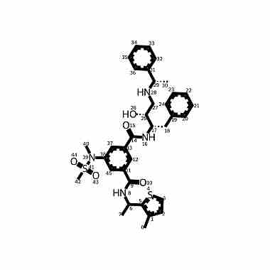 Cc1ccsc1C(C)NC(=O)c1cc(C(=O)N[C@@H](Cc2ccccc2)[C@H](O)CN[C@@H](C)c2ccccc2)cc(N(C)S(C)(=O)=O)c1